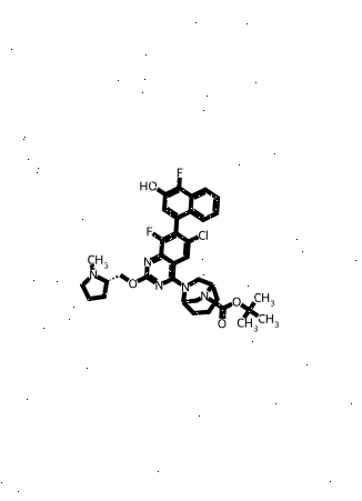 CN1CCC[C@H]1COc1nc(N2CC3CCCC2CN3C(=O)OC(C)(C)C)c2cc(Cl)c(-c3cc(O)c(F)c4ccccc34)c(F)c2n1